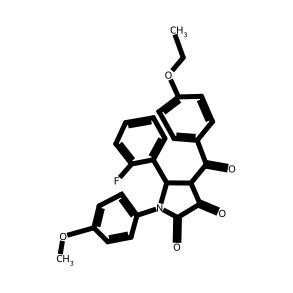 CCOc1ccc(C(=O)C2C(=O)C(=O)N(c3ccc(OC)cc3)C2c2ccccc2F)cc1